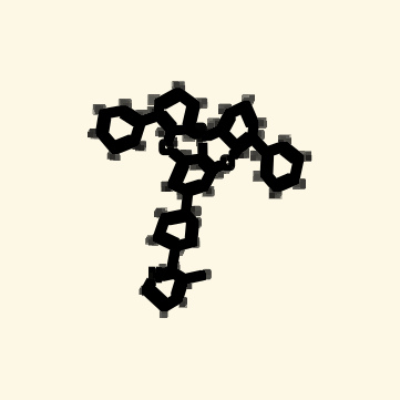 Cc1cccnc1-c1ccc(-c2cc3c4c(c2)Oc2c(-c5ccccc5)cccc2P4(=O)c2cccc(-c4ccccc4)c2O3)cc1